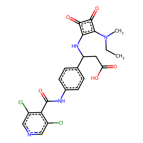 CCN(C)c1c(NC(CC(=O)O)c2ccc(NC(=O)c3c(Cl)cncc3Cl)cc2)c(=O)c1=O